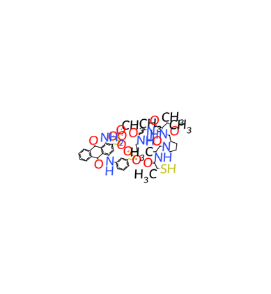 COOS(=O)(=O)c1cc(Nc2cccc(S(=O)(=O)CCNC(=O)C(C)NC(=O)C(NC(=O)C3CCCN3C(=O)C(C)NC(=O)C(C)S)C(C)C)c2)c2c(c1N)C(=O)c1ccccc1C2=O